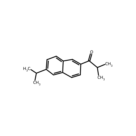 CC(C)C(=O)c1ccc2cc(C(C)C)ccc2c1